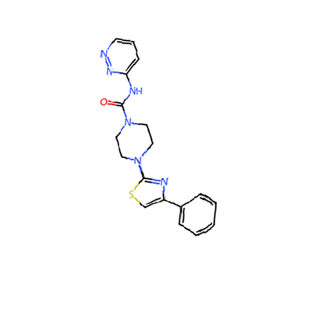 O=C(Nc1cccnn1)N1CCN(c2nc(-c3ccccc3)cs2)CC1